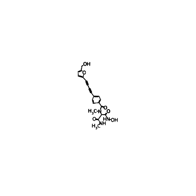 CNC(=O)C(C(=O)NO)N(C)C(=O)c1ccc(C#CC#Cc2ccc(CO)o2)cc1